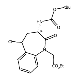 CCOC(=O)CN1C(=O)[C@@H](NC(=O)OC(C)(C)C)CC(Cl)c2ccccc21